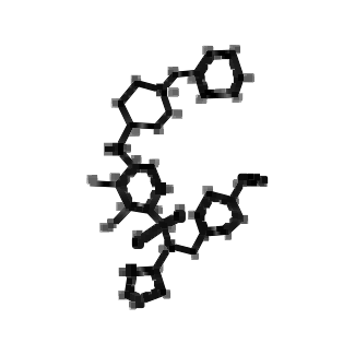 COc1ccc(CN(c2cscn2)S(=O)(=O)c2ncc(NC3CCN(Cc4ccccc4)CC3)c(C)c2F)cc1